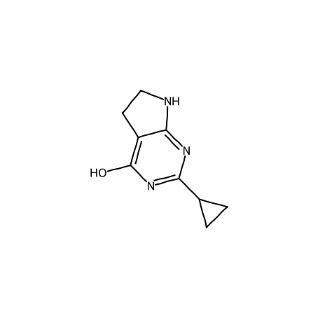 Oc1nc(C2CC2)nc2c1CCN2